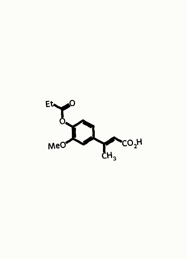 CCC(=O)Oc1ccc(C(C)=CC(=O)O)cc1OC